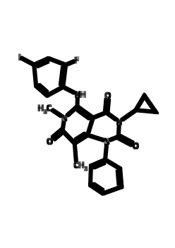 Cc1c(=O)n(C)c(Nc2ccc(I)cc2F)c2c(=O)n(C3CC3)c(=O)n(-c3ccccc3)c12